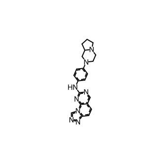 c1cc(N2CCN3CCCC3C2)ccc1Nc1ncc2ccc3nncn3c2n1